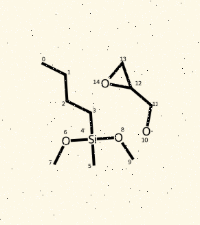 CCCC[Si](C)(OC)OC.[O]CC1CO1